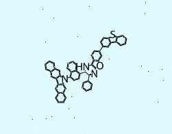 c1ccc(C2=Nc3oc4cc(-c5ccc6sc7ccccc7c6c5)ccc4c3NC2c2ccc(-n3c4cc5ccccc5cc4c4cc5ccccc5cc43)c3ccccc23)cc1